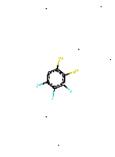 Fc1cc(S)c(S)c(F)c1F